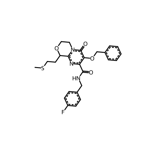 CSCCC1OCCn2c1nc(C(=O)NCc1ccc(F)cc1)c(OCc1ccccc1)c2=O